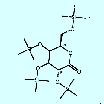 C[Si](C)(C)OC[C@H]1OC(=O)[C@H](O[Si](C)(C)C)C(O[Si](C)(C)C)C1O[Si](C)(C)C